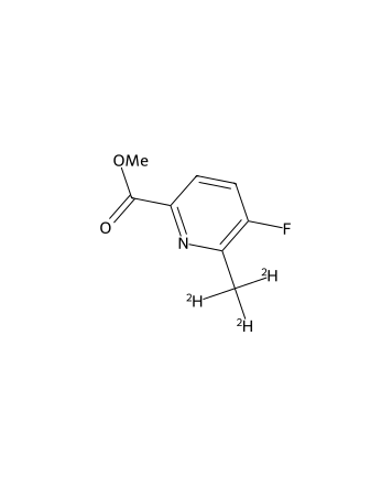 [2H]C([2H])([2H])c1nc(C(=O)OC)ccc1F